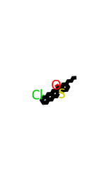 CCCCc1ccc2sc3cc4cc5cccc(Cl)c5cc4cc3c(=O)c2c1